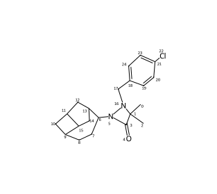 CC1(C)C(=O)N(C2CCC3CC4CC2CC34)N1Cc1ccc(Cl)cc1